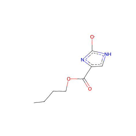 CCCCOC(=O)c1c[nH]c([O])n1